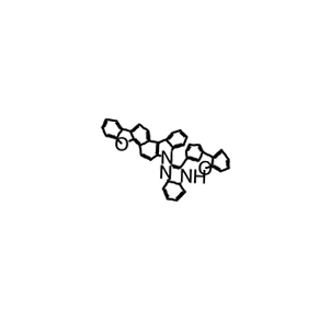 C1=CC2=NC(n3c4ccccc4c4c5ccc6c7ccccc7oc6c5ccc43)=C(c3cccc4c3oc3ccccc34)NC2C=C1